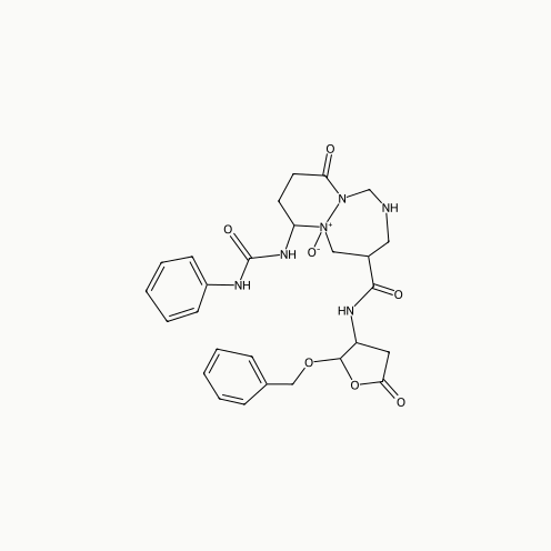 O=C(Nc1ccccc1)NC1CCC(=O)N2CNCC(C(=O)NC3CC(=O)OC3OCc3ccccc3)C[N+]12[O-]